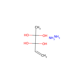 C=CC(O)(O)C(C)(O)O.N.N